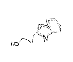 OCCc1nc2ccccc2o1